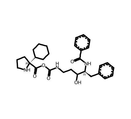 O=C(NCCC(O)[C@H](Cc1ccccc1)NC(=O)c1ccccc1)OC(=O)[C@]1(C2CCCCC2)CCCN1